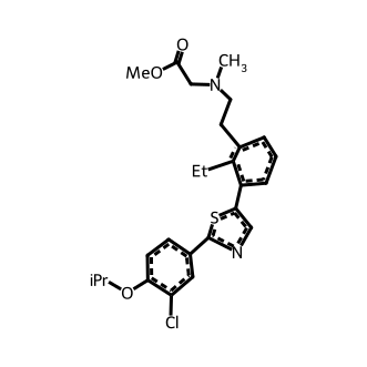 CCc1c(CCN(C)CC(=O)OC)cccc1-c1cnc(-c2ccc(OC(C)C)c(Cl)c2)s1